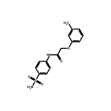 Cc1cccc(OCC(=O)Nc2ccc(S(N)(=O)=O)cc2)c1